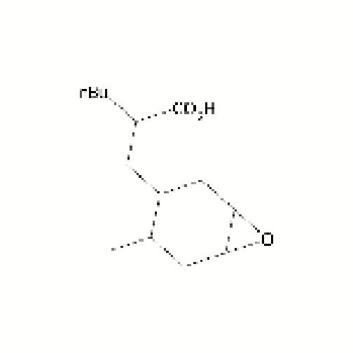 CCCCC(CC1CC2OC2CC1C)C(=O)O